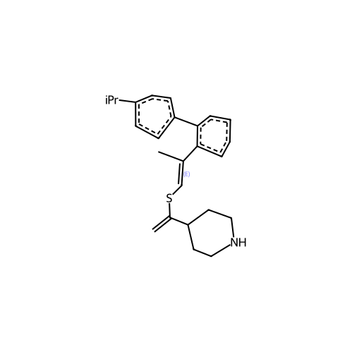 C=C(S/C=C(\C)c1ccccc1-c1ccc(C(C)C)cc1)C1CCNCC1